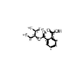 O=C(O)c1ccccc1C(=O)OC(CF)C(F)F